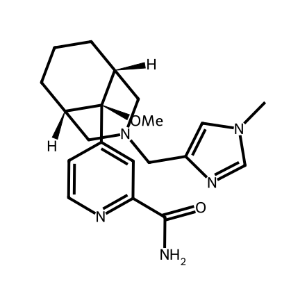 CO[C@]1(c2ccnc(C(N)=O)c2)[C@@H]2CCC[C@H]1CN(Cc1cn(C)cn1)C2